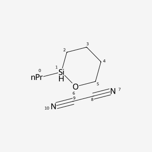 CCC[SiH]1CCCCO1.N#CC#N